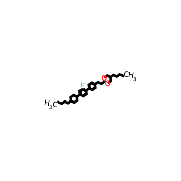 CCCCCC1CCC(c2ccc(-c3ccc(CCC4OCC(CCCCC)CO4)cc3)c(F)c2)CC1